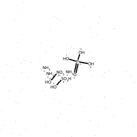 N.N.N.O=P(O)(O)O.O=S(=O)(O)O.O=[N+]([O-])O